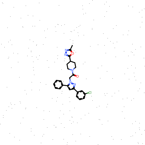 Cc1nnc(C2CCN(C(=O)Cn3nc(-c4cccc(Cl)c4)cc3-c3ccccc3)CC2)o1